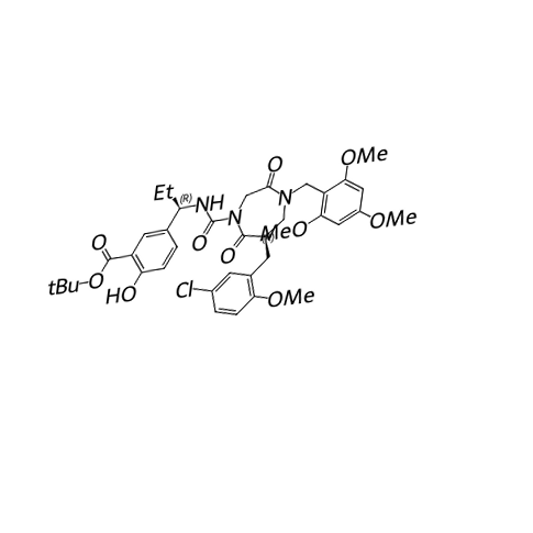 CC[C@@H](NC(=O)N1CC(=O)N(Cc2c(OC)cc(OC)cc2OC)C[C@@H](Cc2cc(Cl)ccc2OC)C1=O)c1ccc(O)c(C(=O)OC(C)(C)C)c1